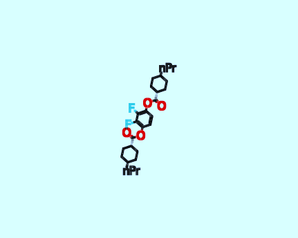 CCC[C@H]1CC[C@H](C(=O)Oc2ccc(OC(=O)[C@H]3CC[C@H](CCC)CC3)c(F)c2F)CC1